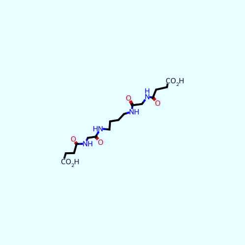 O=C(O)CCC(=O)NCC(=O)NCCCCNC(=O)CNC(=O)CCC(=O)O